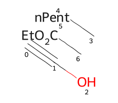 C#CO.CCCCCC.CCOC(C)=O